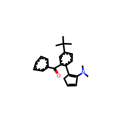 CN(C)C1=C(c2ccc(C(C)(C)C)cc2C(=O)c2ccccc2)CC=C1